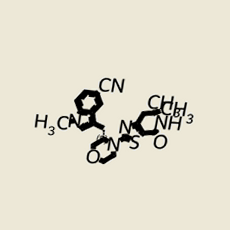 Cn1cc(C[C@H]2COCCN2c2nc3c(s2)C(=O)NC(C)(C)C3)c2cc(C#N)ccc21